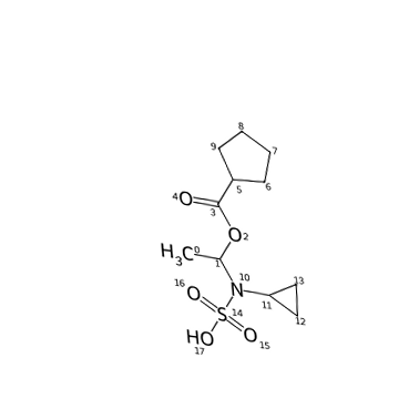 CC(OC(=O)C1CCCC1)N(C1CC1)S(=O)(=O)O